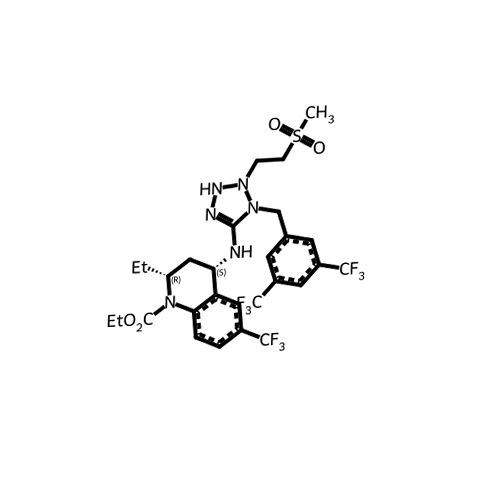 CCOC(=O)N1c2ccc(C(F)(F)F)cc2[C@@H](NC2=NNN(CCS(C)(=O)=O)N2Cc2cc(C(F)(F)F)cc(C(F)(F)F)c2)C[C@H]1CC